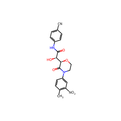 Cc1ccc(N2CCO[C@H]([C@@H](O)C(=O)Nc3ccc(C#N)cc3)C2=O)cc1[N+](=O)[O-]